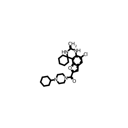 C=C1Nc2c(Cl)cc3cc(C(=O)N4CCN(C5CCCCC5)CC4)oc3c2C2(CCCCC2)N1